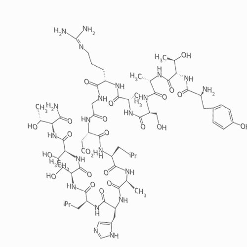 CC(C)C[C@H](NC(=O)[C@H](CC(=O)O)NC(=O)CNC(=O)[C@H](CCCN=C(N)N)NC(=O)[C@H](C)NC(=O)[C@H](CO)NC(=O)[C@H](C)NC(=O)[C@@H](NC(=O)[C@@H](N)Cc1ccc(O)cc1)[C@@H](C)O)C(=O)N[C@@H](C)C(=O)N[C@@H](Cc1cnc[nH]1)C(=O)N[C@@H](CC(C)C)C(=O)N[C@H](C(=O)N[C@H](C(=O)N[C@H](C(N)=O)[C@@H](C)O)[C@@H](C)O)[C@@H](C)O